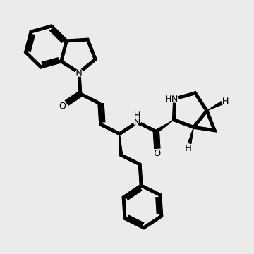 O=C(N[C@H](/C=C/C(=O)N1CCc2ccccc21)CCc1ccccc1)[C@H]1NC[C@@H]2C[C@@H]21